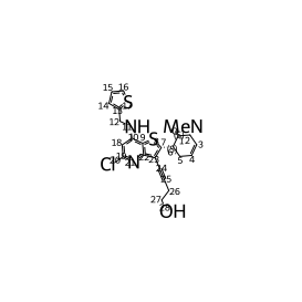 CN[C@H]1CC=CC[C@@H]1c1sc2c(NCc3cccs3)cc(Cl)nc2c1C#CCCO